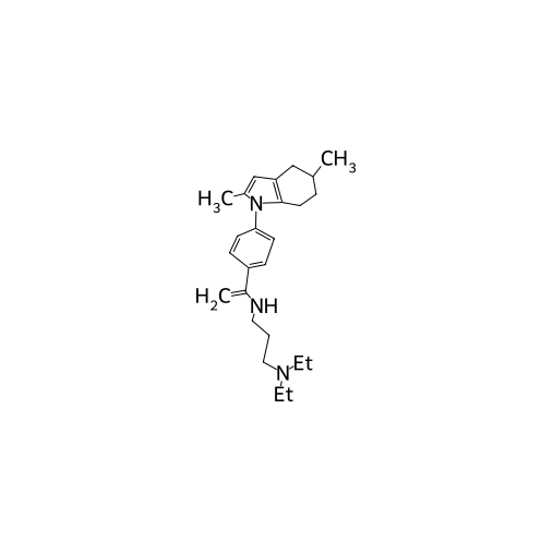 C=C(NCCCN(CC)CC)c1ccc(-n2c(C)cc3c2CCC(C)C3)cc1